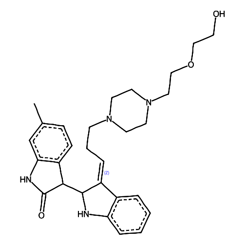 Cc1ccc2c(c1)NC(=O)C2C1Nc2ccccc2/C1=C/CCN1CCN(CCOCCO)CC1